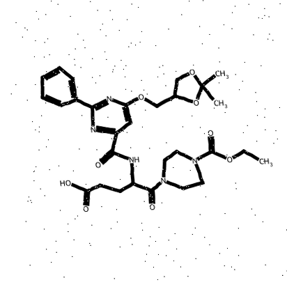 CCOC(=O)N1CCN(C(=O)C(CCC(=O)O)NC(=O)c2cc(OCC3COC(C)(C)O3)nc(-c3ccccc3)n2)CC1